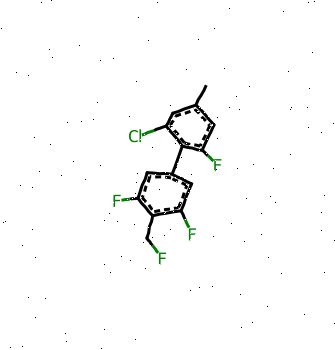 Cc1cc(F)c(-c2cc(F)c(CF)c(F)c2)c(Cl)c1